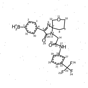 Bc1ccc(C2=NC3(CCCOC3)N(CC(=O)Nc3cccc(C(F)(F)F)c3)C2=O)cc1